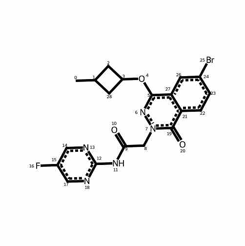 CC1CC(Oc2nn(CC(=O)Nc3ncc(F)cn3)c(=O)c3ccc(Br)cc23)C1